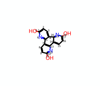 Oc1ccc2c(n1)c1ccc(O)nc1c1ccc(O)nc21